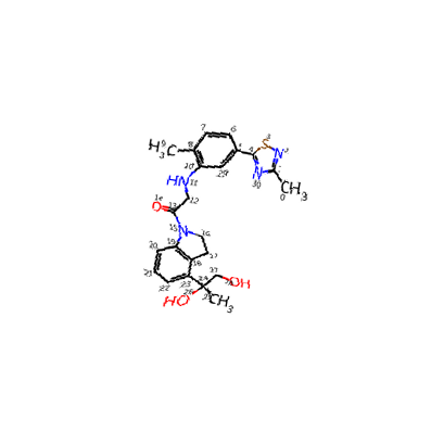 Cc1nsc(-c2ccc(C)c(NCC(=O)N3CCc4c3cccc4[C@@](C)(O)CO)c2)n1